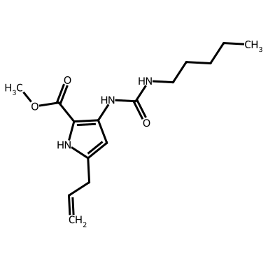 C=CCc1cc(NC(=O)NCCCCC)c(C(=O)OC)[nH]1